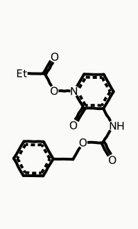 CCC(=O)On1cccc(NC(=O)OCc2ccccc2)c1=O